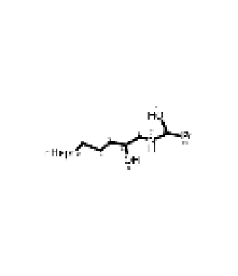 CCCCCCCCCCC(O)CNC(O)C(C)C